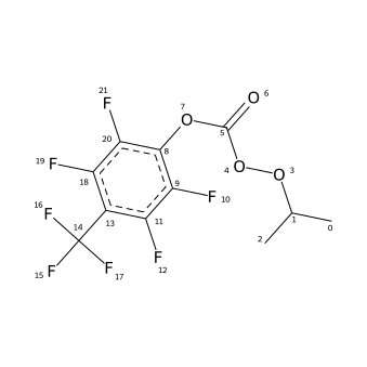 CC(C)OOC(=O)Oc1c(F)c(F)c(C(F)(F)F)c(F)c1F